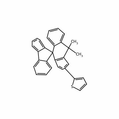 CC1(C)c2ccccc2C2(c3ccccc3-c3ccccc32)c2ccc(-c3cccs3)cc21